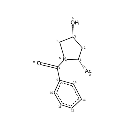 CC(=O)[C@H]1C[C@@H](O)CN1C(=O)c1ccccc1